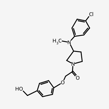 CN(c1ccc(Cl)cc1)C1CCN(C(=O)COc2ccc(CO)cc2)C1